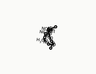 CCN(C(=O)OCc1ccccc1)c1nc(N(C(=O)OCOC(=O)Cc2ccc(OP(=O)(OCc3ccccc3)OCc3ccccc3)cc2)c2cc(C#N)cc(N3CCN([C@@H](C)C(N)=O)CC3)c2Cl)nn2c(C#N)cnc12